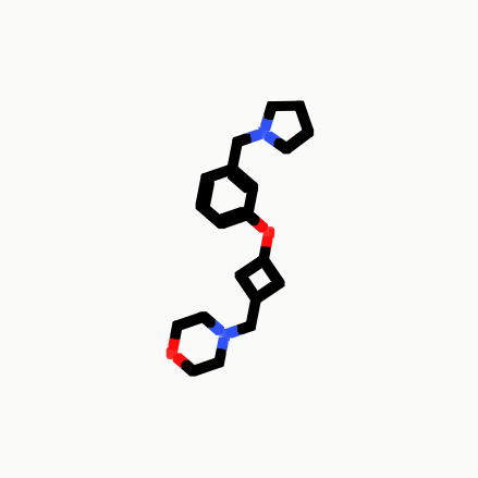 c1cc(CN2CCCC2)cc(OC2CC(CN3CCOCC3)C2)c1